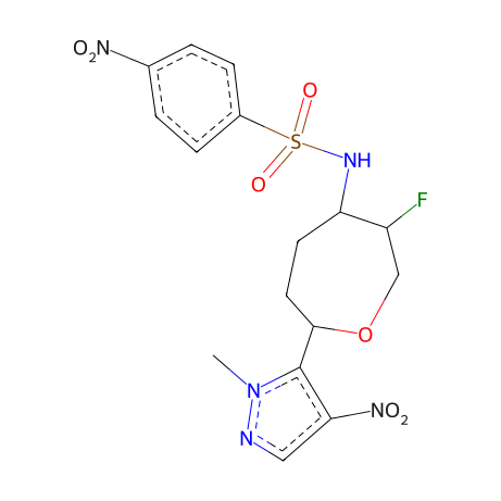 Cn1ncc([N+](=O)[O-])c1C1CCC(NS(=O)(=O)c2ccc([N+](=O)[O-])cc2)C(F)CO1